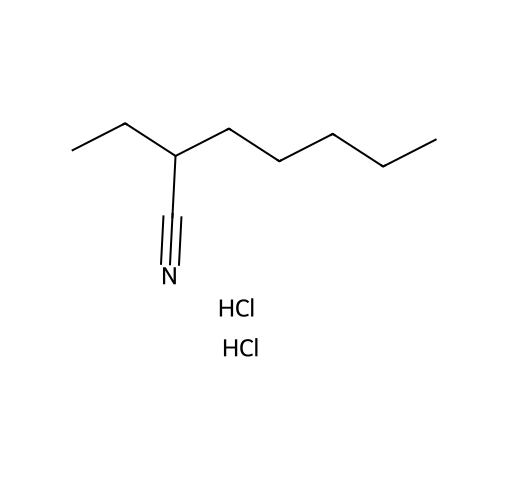 CCCCCC(C#N)CC.Cl.Cl